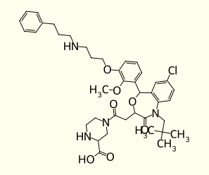 COc1c(OCCCNCCCc2ccccc2)cccc1C1OC(CC(=O)N2CCNC(C(=O)O)C2)C(=O)N(CC(C)(C)C)c2ccc(Cl)cc21